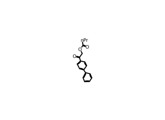 CCCC(=O)OCC(=O)c1ccc(-c2ccccc2)cc1